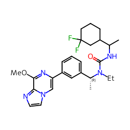 CCN(C(=O)NC(C)C1CCCC(F)(F)C1)[C@H](C)c1cccc(-c2cn3ccnc3c(OC)n2)c1